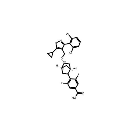 O=C(O)c1cc(F)c(N2C[C@@H]3C[C@H]2C[C@H]3OCc2c(-c3c(Cl)cccc3Cl)noc2C2CC2)c(F)c1